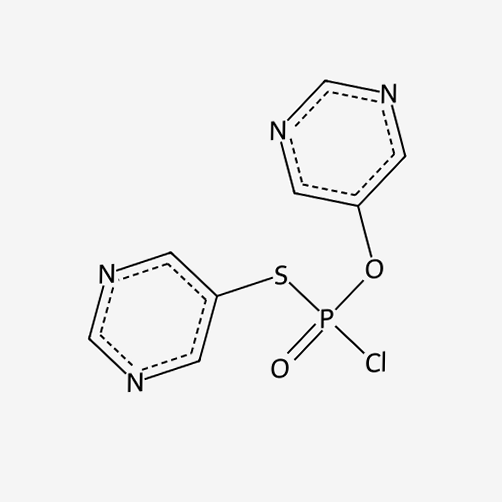 O=P(Cl)(Oc1cncnc1)Sc1cncnc1